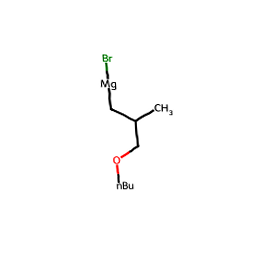 CCCCOCC(C)[CH2][Mg][Br]